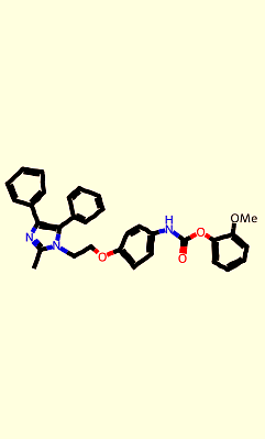 COc1ccccc1OC(=O)Nc1ccc(OCCn2c(C)nc(-c3ccccc3)c2-c2ccccc2)cc1